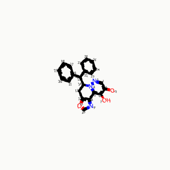 O=c1cnn2c(c1O)-c1ncoc1CC2C(c1ccccc1)c1ccccc1